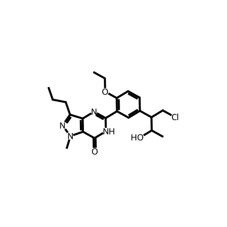 CCCc1nn(C)c2c(=O)[nH]c(-c3cc(C(CCl)C(C)O)ccc3OCC)nc12